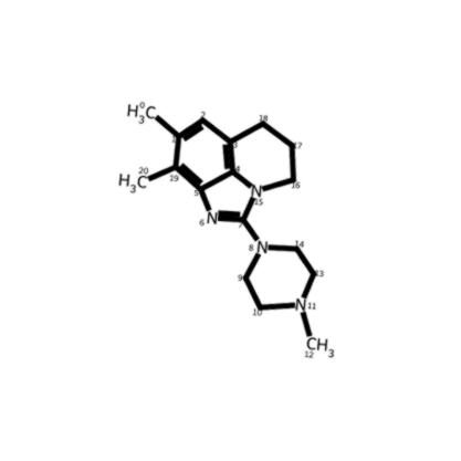 Cc1cc2c3c(nc(N4CCN(C)CC4)n3CCC2)c1C